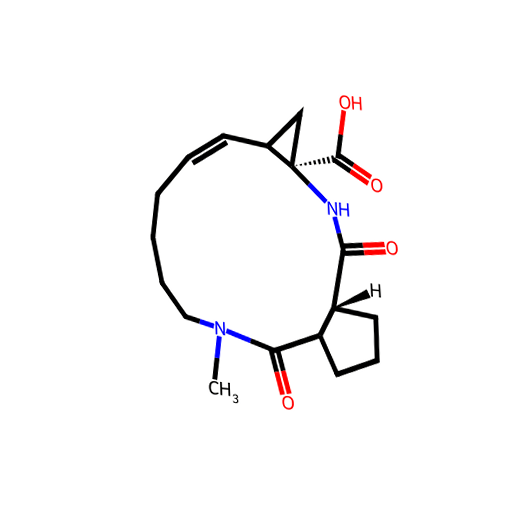 CN1CCCC/C=C\C2C[C@@]2(C(=O)O)NC(=O)[C@@H]2CCCC2C1=O